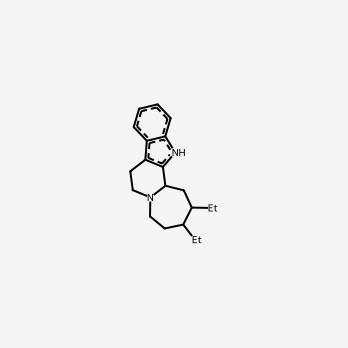 CCC1CCN2CCc3c([nH]c4ccccc34)C2CC1CC